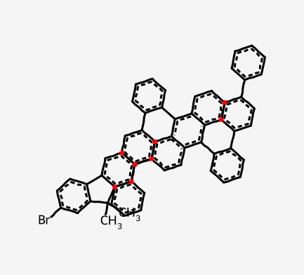 CC1(C)c2cc(Br)ccc2-c2ccc(-c3ccc4c(-c5ccccc5-c5ccc(-c6ccccc6)cc5)c5ccccc5c(-c5ccccc5-c5ccc(-c6ccccc6)cc5)c4c3)cc21